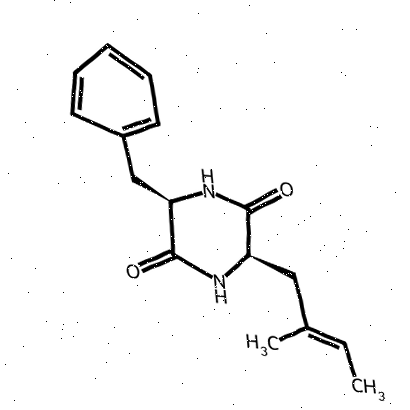 C/C=C(\C)C[C@H]1NC(=O)[C@@H](Cc2ccccc2)NC1=O